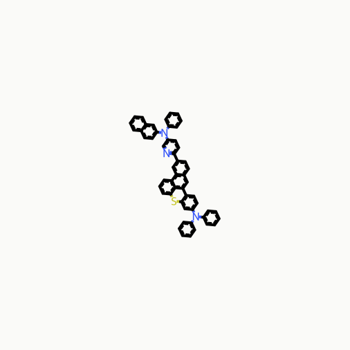 c1ccc(N(c2ccccc2)c2ccc3c(c2)Sc2cccc4c2c-3cc2ccc(-c3ccc(N(c5ccccc5)c5ccc6ccccc6c5)cn3)cc24)cc1